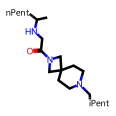 CCCCCC(C)NCC(=O)N1CC2(CCN(CC(C)CCC)CC2)C1